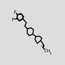 C/C=C/C1CCC(C2CCC(CCc3ccc(F)c(F)c3)CC2)CC1